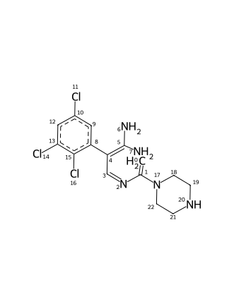 C=C(/N=C\C(=C(N)N)c1cc(Cl)cc(Cl)c1Cl)N1CCNCC1